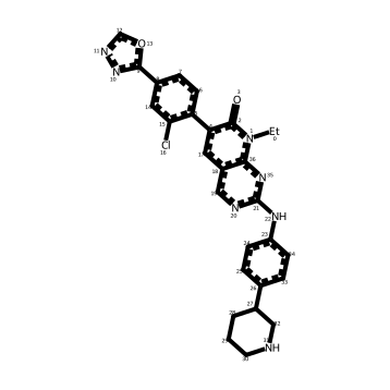 CCn1c(=O)c(-c2ccc(-c3nnco3)cc2Cl)cc2cnc(Nc3ccc(C4CCCNC4)cc3)nc21